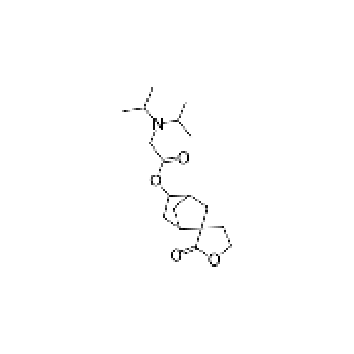 CC(C)N(CC(=O)OC1CC2CC1CC21CCOC1=O)C(C)C